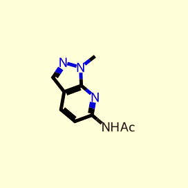 CC(=O)Nc1ccc2cnn(C)c2n1